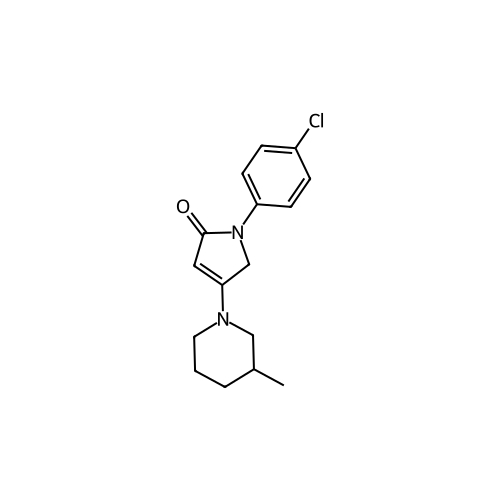 CC1CCCN(C2=CC(=O)N(c3ccc(Cl)cc3)C2)C1